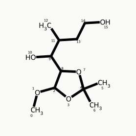 COC1OC(C)(C)OC1C(O)C(C)CCO